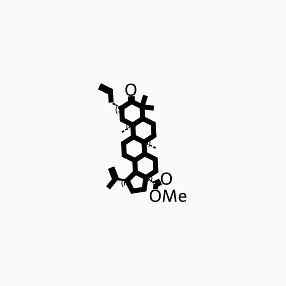 C=CC[C@H]1C[C@@]2(C)C(CC[C@@]3(C)C4CC[C@@]5(C(=O)OC)CC[C@@H](C(=C)C)C5C4CCC32)C(C)(C)C1=O